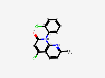 O=c1cc(Cl)c2ccc(C(F)(F)F)nc2n1-c1ccccc1Cl